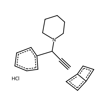 C#CC(c1ccccc1)N1CCCCC1.Cl.c1cc2ccc1-2